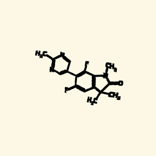 Cc1ncc(-c2c(F)cc3c(c2F)N(C)C(=O)C3(C)C)cn1